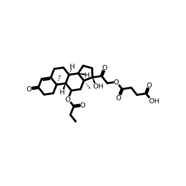 CCC(=O)OC1C[C@@]2(C)[C@@H](CC[C@]2(O)C(=O)COC(=O)CCC(=O)O)[C@@H]2CCC3=CC(=O)CC[C@]3(C)[C@@H]12